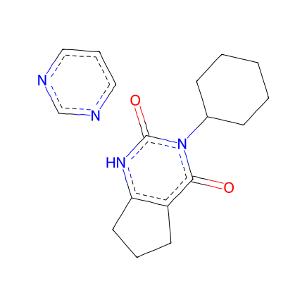 O=c1[nH]c2c(c(=O)n1C1CCCCC1)CCC2.c1cncnc1